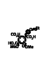 CCOCCOc1ccc(CC(C(=O)O)N2CCN(CC(=O)O)CCN(C(COC)C(=O)O)CCN(CC(=O)OC)CC2)cc1